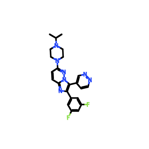 CC(C)N1CCN(c2ccc3nc(-c4cc(F)cc(F)c4)c(-c4ccnnc4)n3n2)CC1